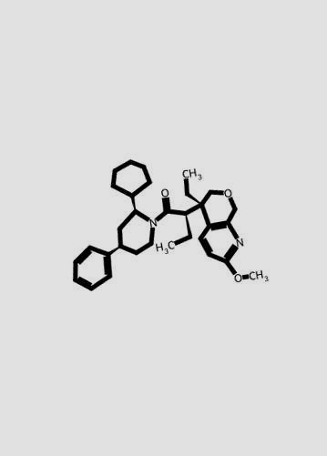 CC[C@@H](C(=O)N1CC[C@@H](c2ccccc2)C[C@H]1C1CCCCC1)[C@]1(CC)COCc2nc(OC)ccc21